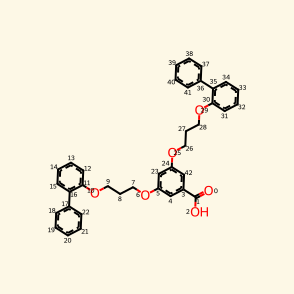 O=C(O)c1cc(OCCCOc2ccccc2-c2ccccc2)cc(OCCCOc2ccccc2-c2ccccc2)c1